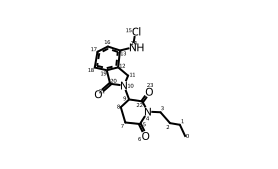 CCCCN1C(=O)CCC(N2Cc3c(NCl)cccc3C2=O)C1=O